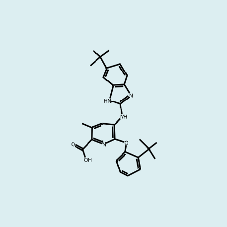 Cc1cc(Nc2nc3ccc(C(C)(C)C)cc3[nH]2)c(Oc2ccccc2C(C)(C)C)nc1C(=O)O